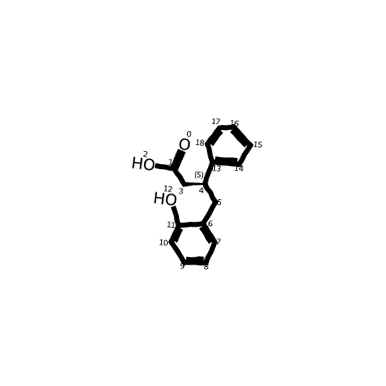 O=C(O)C[C@H](Cc1ccccc1O)c1ccccc1